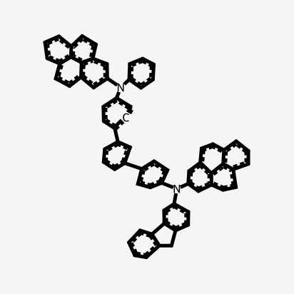 c1ccc(N(c2ccc(-c3cccc(-c4ccc(N(c5ccc6c(c5)-c5ccccc5C6)c5cc6ccc7cccc8ccc(c5)c6c78)cc4)c3)cc2)c2cc3ccc4cccc5ccc(c2)c3c45)cc1